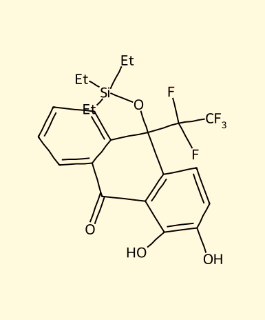 CC[Si](CC)(CC)OC1(C(F)(F)C(F)(F)F)c2ccccc2C(=O)c2c1ccc(O)c2O